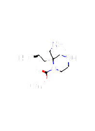 C=CC[C@@]1(CN)CNCCN1C(=O)OC(C)(C)C